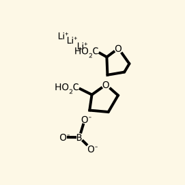 O=C(O)C1CCCO1.O=C(O)C1CCCO1.[Li+].[Li+].[Li+].[O-]B([O-])[O-]